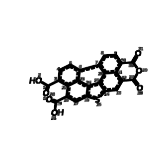 O=C(O)c1ccc2c3ccc4c5c(cc6sc7cc(C(=O)O)c1c2c7c6c53)C(=O)OC4=O